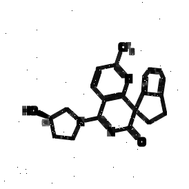 O=C1N=C(N2CC[C@@H](O)C2)c2ccc(C(F)(F)F)nc2C12CCc1ccccc12